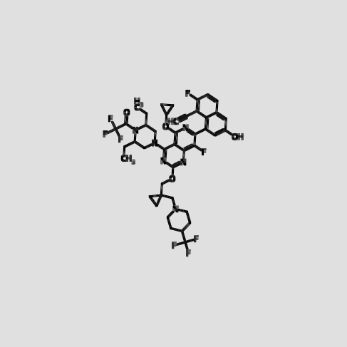 C#Cc1c(F)ccc2cc(O)cc(-c3nc(OC4CC4)c4c(N5CC(CC)N(C(=O)C(F)(F)F)C(CC)C5)nc(OCC5(CN6CCC(C(F)(F)F)CC6)CC5)nc4c3F)c12